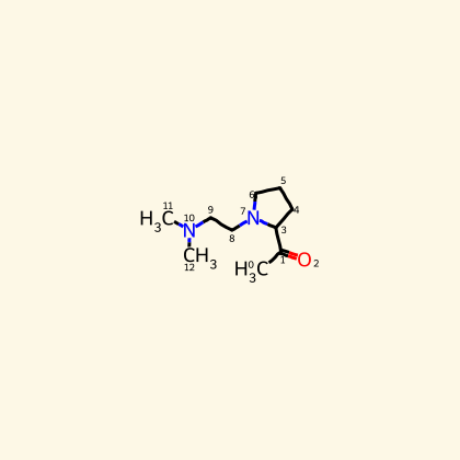 CC(=O)C1CCCN1CCN(C)C